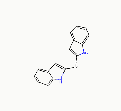 c1ccc2[nH][c]([Zr][c]3cc4ccccc4[nH]3)cc2c1